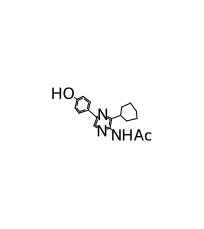 CC(=O)Nc1ncc(-c2ccc(O)cc2)nc1C1CCCCC1